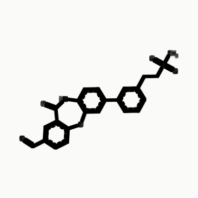 CS(=O)(=O)CCc1cccc(-c2ccc3c(c2)Oc2ccc(C=O)cc2C(=O)N3)c1